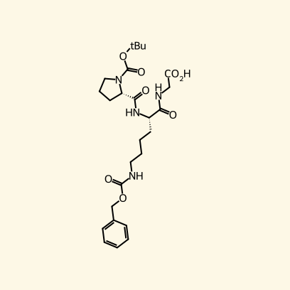 CC(C)(C)OC(=O)N1CCC[C@H]1C(=O)N[C@@H](CCCCNC(=O)OCc1ccccc1)C(=O)NCC(=O)O